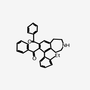 CCc1ccccc1-c1c2c(cc(C(=O)c3ccccc3)c1C(=O)c1ccccc1)CCNCC2